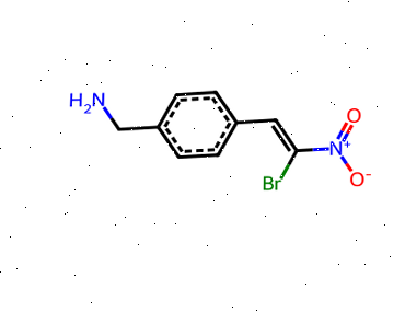 NCc1ccc(C=C(Br)[N+](=O)[O-])cc1